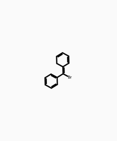 Br/C(=C1\C=CC=CC1)c1ccccc1